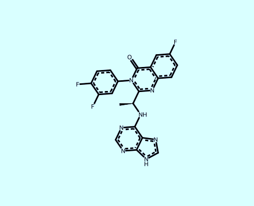 C[C@H](Nc1ncnc2[nH]cnc12)c1nc2ccc(F)cc2c(=O)n1-c1ccc(F)c(F)c1